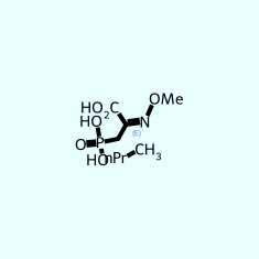 CCCC.CO/N=C(/CP(=O)(O)O)C(=O)O